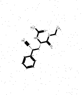 C#C[C@H](C[C@H](NC(C)=O)C(=O)OCC)c1ccccc1